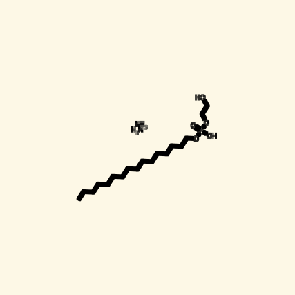 CCCCCCCCCCCCCCCCOP(=O)(O)OCCO.N.N